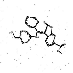 COC(=O)c1ccc2c(c1)NC(=O)C2=C(Nc1ccc(CN)cc1)c1ccccc1